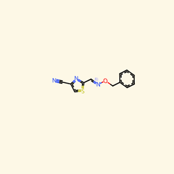 N#Cc1csc(/C=N/OCc2ccccc2)n1